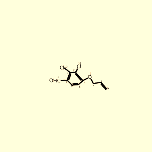 C=CCOc1ccc(C=O)c(Cl)c1Cl